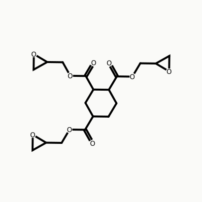 O=C(OCC1CO1)C1CCC(C(=O)OCC2CO2)C(C(=O)OCC2CO2)C1